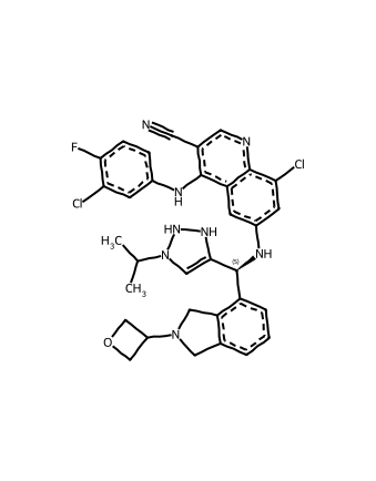 CC(C)N1C=C([C@@H](Nc2cc(Cl)c3ncc(C#N)c(Nc4ccc(F)c(Cl)c4)c3c2)c2cccc3c2CN(C2COC2)C3)NN1